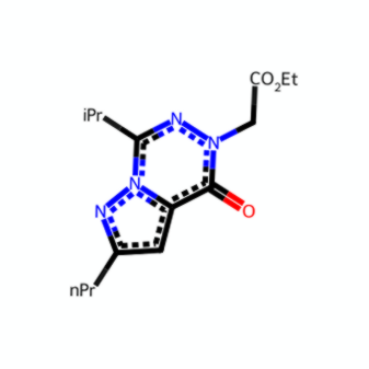 CCCc1cc2c(=O)n(CC(=O)OCC)nc(C(C)C)n2n1